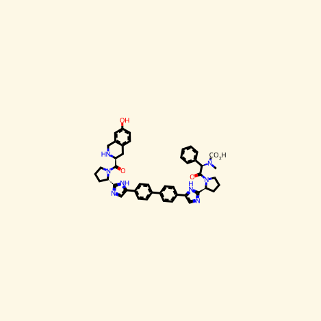 CN(C(=O)O)[C@@H](C(=O)N1CCC[C@H]1c1ncc(-c2ccc(-c3ccc(-c4cnc([C@@H]5CCCN5C(=O)[C@@H]5Cc6ccc(O)cc6CN5)[nH]4)cc3)cc2)[nH]1)c1ccccc1